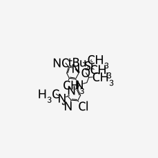 Cc1cc(C#N)ncc1N(CC(C)O[Si](C)(C)C(C)(C)C)c1cc(Cl)c2ncn(C)c2n1